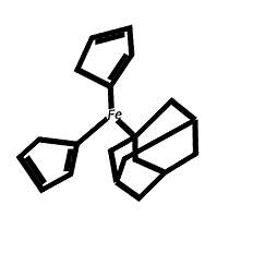 C1=CC[C]([Fe]([C]2=CC=CC2)[C]23CC4CC(CC(C4)C2)C3)=C1